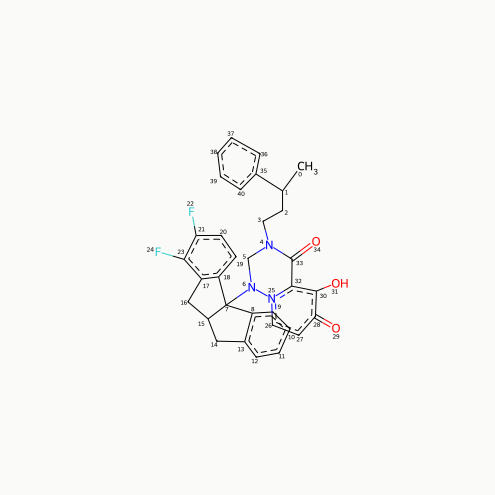 CC(CCN1CN(C23c4ccccc4CC2Cc2c3ccc(F)c2F)n2ccc(=O)c(O)c2C1=O)c1ccccc1